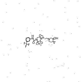 C[C@H]1C(=O)N2C(CN1C(=O)Nc1cccc(C(F)(F)F)c1)OC[C@@H]2CCN1CCC2(CC2)[C@H](O)C1